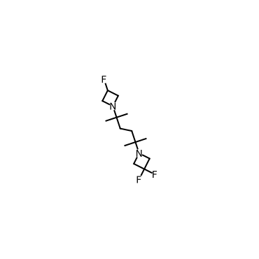 CC(C)(CCC(C)(C)N1CC(F)(F)C1)N1CC(F)C1